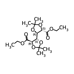 CCOC(=O)[C@H]1OC(C)(C)O[C@@H]1[C@@H]1OC(C)(C)O[C@H]1C(=O)OCC